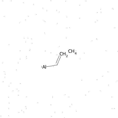 C.C=[CH][Al]